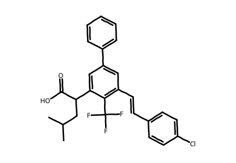 CC(C)CC(C(=O)O)c1cc(-c2ccccc2)cc(C=Cc2ccc(Cl)cc2)c1C(F)(F)F